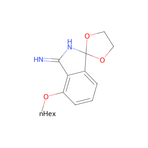 CCCCCCOc1cccc2c1C(=N)NC21OCCO1